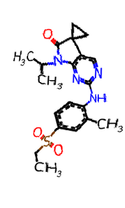 CCS(=O)(=O)c1ccc(Nc2ncc3c(n2)N(C(C)C)C(=O)C32CC2)c(C)c1